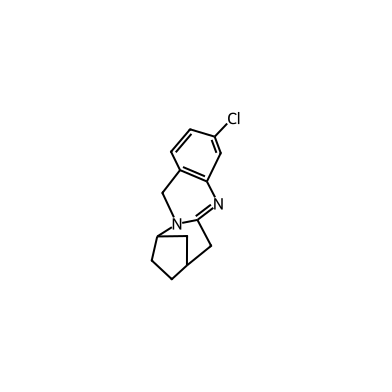 Clc1ccc2c(c1)N=C1CC3CCC(C3)N1C2